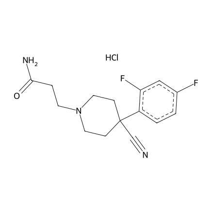 Cl.N#CC1(c2ccc(F)cc2F)CCN(CCC(N)=O)CC1